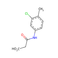 Cc1ccc(NC(=O)CC(=O)O)cc1Cl